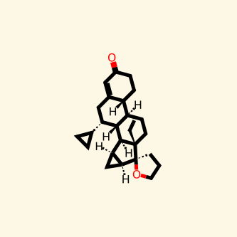 CC[C@]12CC[C@H]3[C@H]([C@@H]1[C@@H]1C[C@@H]1[C@@]21CCCO1)[C@H](C1CC1)CC1=CC(=O)CC[C@@H]13